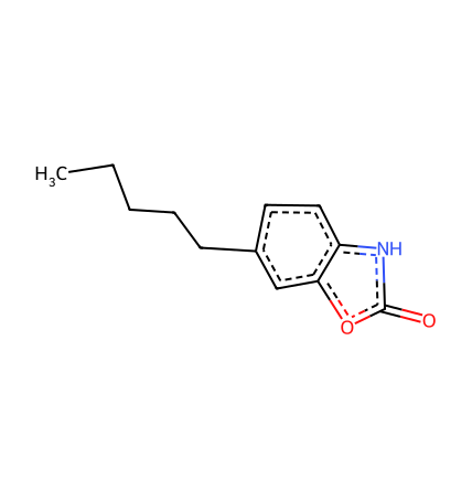 CCCCCc1ccc2[nH]c(=O)oc2c1